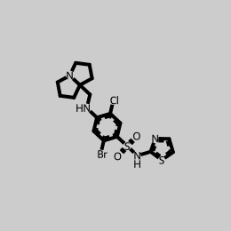 O=S(=O)(Nc1nccs1)c1cc(Cl)c(NCC23CCCN2CCC3)cc1Br